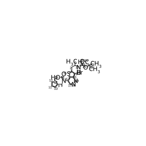 C[C@@H](Cc1sc2c(N(Cc3cccs3)C(=O)O)cnnc2c1Br)NC(=O)OC(C)(C)C